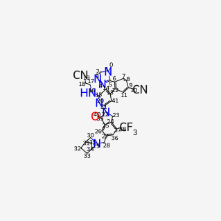 Cn1cnnc1-c1ccc(C#N)cc1-c1cc(NCCC#N)nc(N2Cc3c(cc(CN4CC5CCC4C5)cc3C(F)(F)F)C2=O)c1